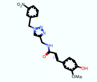 COc1cc(/C=C/C(=O)NCc2cn(Cc3cccc([N+](=O)[O-])c3)nn2)ccc1O